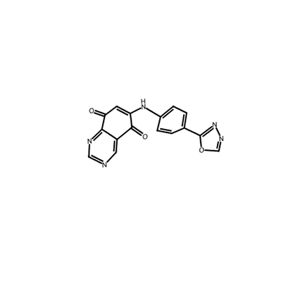 O=C1C(Nc2ccc(-c3nnco3)cc2)=CC(=O)c2ncncc21